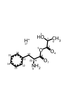 CC(O)C(=O)OC(=O)[C@@H](N)Cc1ccccc1.[H+]